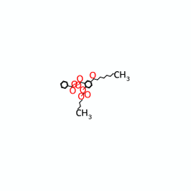 CCCCCCCC(=O)c1ccc(OC(=O)OCCCCC)c(C(=O)OOC(=O)c2ccccc2)c1